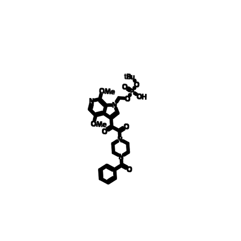 COc1cnc(OC)c2c1c(C(=O)C(=O)N1CCN(C(=O)c3ccccc3)CC1)cn2COP(=O)(O)OC(C)(C)C